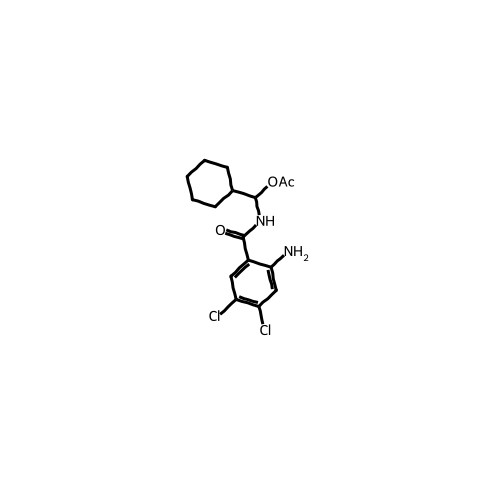 CC(=O)OC(NC(=O)c1cc(Cl)c(Cl)cc1N)C1CCCCC1